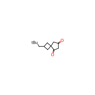 CC(C)(C)CC1CC2(CC(=O)CC2=O)C1